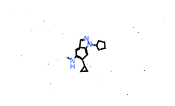 CNc1cc2cnn(C3CCCC3)c2cc1C1CC1